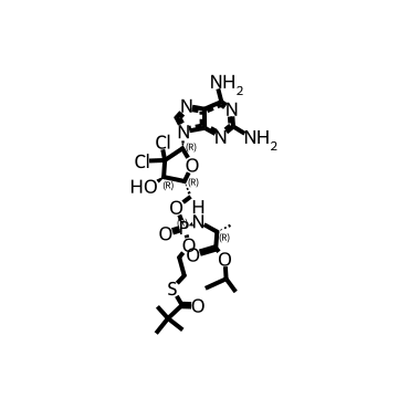 CC(C)OC(=O)[C@@H](C)N[P@](=O)(OCCSC(=O)C(C)(C)C)OC[C@H]1O[C@@H](n2cnc3c(N)nc(N)nc32)C(Cl)(Cl)[C@@H]1O